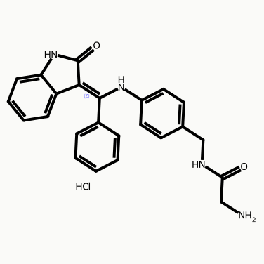 Cl.NCC(=O)NCc1ccc(N/C(=C2\C(=O)Nc3ccccc32)c2ccccc2)cc1